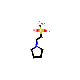 COS(=O)(=O)CCN1CCCC1